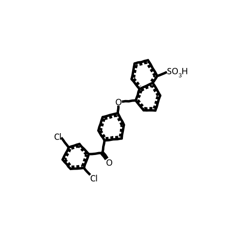 O=C(c1ccc(Oc2cccc3c(S(=O)(=O)O)cccc23)cc1)c1cc(Cl)ccc1Cl